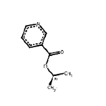 [CH2][C@H](C)OC(=O)c1cccnc1